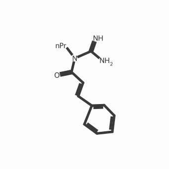 CCCN(C(=N)N)C(=O)C=Cc1ccccc1